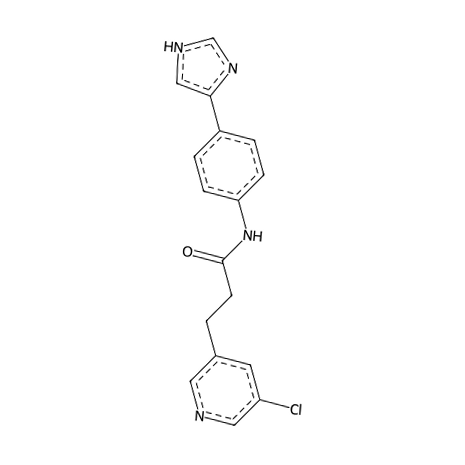 O=C(CCc1cncc(Cl)c1)Nc1ccc(-c2c[nH]cn2)cc1